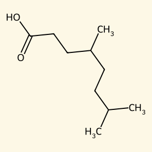 CC(C)CCC(C)CCC(=O)O